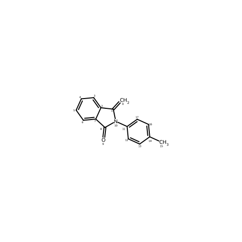 C=C1c2ccccc2C(=O)N1c1ccc(C)cc1